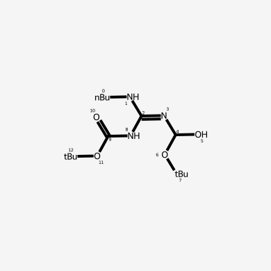 CCCCN/C(=N/C(O)OC(C)(C)C)NC(=O)OC(C)(C)C